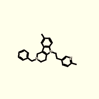 Cc1ccc2c(c1)c1c(n2CCc2ccc(C)nc2)CCN(Cc2ccccc2)C1